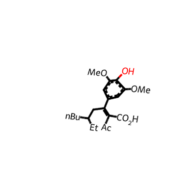 CCCCC(CC)CC(=C(C(C)=O)C(=O)O)c1cc(OC)c(O)c(OC)c1